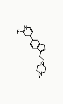 CN1CCN(CCC2=CCc3cc(-c4ccnc(F)c4)ccc32)CC1